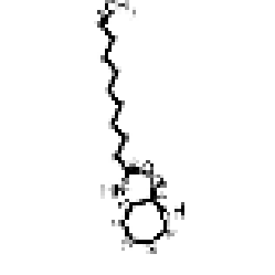 C=CCCCCCCCCC(=O)N[C@H]1CCCCNC1=O